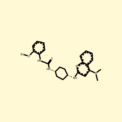 CCOc1ccccc1NC(=S)N[C@H]1CC[C@@H](Nc2cc(N(C)C)c3ccccc3n2)CC1